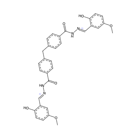 COc1ccc(O)c(/C=N/NC(=O)c2ccc(Cc3ccc(C(=O)N/N=C/c4cc(OC)ccc4O)cc3)cc2)c1